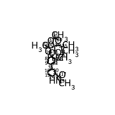 CC[C@@]1(C)O[C@H](Oc2ccc(-c3cccc(C(=O)NC)c3)cc2C)[C@@H](OC(C)=O)[C@@H](OC(C)=O)[C@@H]1C